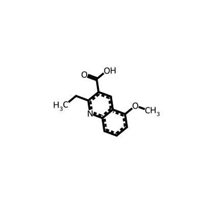 CCc1nc2cccc(OC)c2cc1C(=O)O